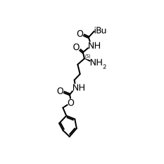 CCC(C)C(=O)NC(=O)[C@@H](N)CCCNC(=O)OCc1ccccc1